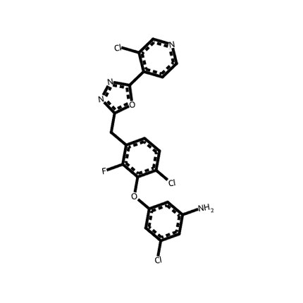 Nc1cc(Cl)cc(Oc2c(Cl)ccc(Cc3nnc(-c4ccncc4Cl)o3)c2F)c1